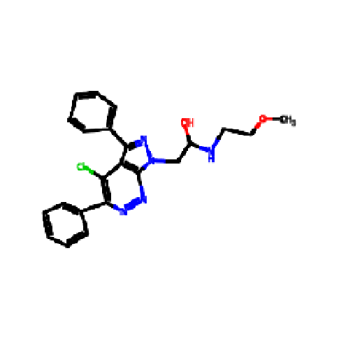 COCCNC(O)Cn1nc(-c2ccccc2)c2c(Cl)c(-c3ccccc3)nnc21